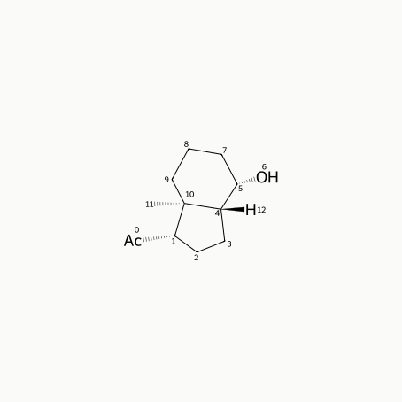 CC(=O)[C@H]1CC[C@H]2[C@@H](O)CCC[C@]12C